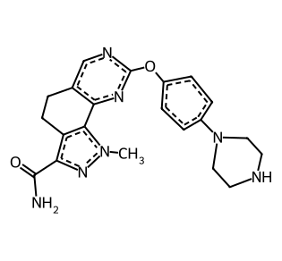 Cn1nc(C(N)=O)c2c1-c1nc(Oc3ccc(N4CCNCC4)cc3)ncc1CC2